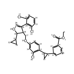 COC(=O)c1cncc(C2CC2c2ccc(OCC3C(c4c(Cl)cccc4Cl)=NOC3C3CC3)cc2Cl)c1